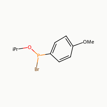 COc1ccc(P(Br)OC(C)C)cc1